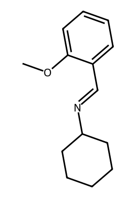 COc1ccccc1/C=N/C1CCCCC1